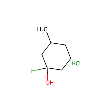 CC1CCCC(O)(F)C1.Cl